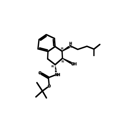 CC(C)CCN[C@@H]1c2ccccc2C[C@@H](NC(=O)OC(C)(C)C)[C@@H]1O